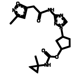 Cc1cc(CC(=O)Nc2ncn(C3CCC(OC(=O)NC4(C)CC4)C3)n2)on1